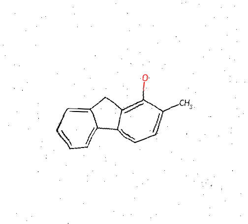 Cc1ccc2c(c1[O])Cc1ccccc1-2